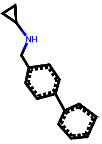 [c]1cccc(-c2ccc(CNC3CC3)cc2)c1